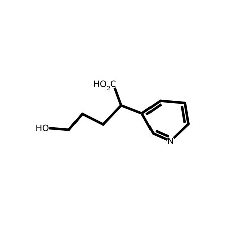 O=C(O)C(CCCO)c1cccnc1